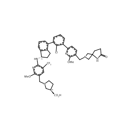 COc1nc(-c2cccc(-c3cccc4c3CC[C@@H]4Nc3nc(OC)c(CN4CC[C@@H](C(=O)O)C4)cc3C(F)(F)F)c2Cl)ccc1CN1CC2(CCC(=O)N2)C1